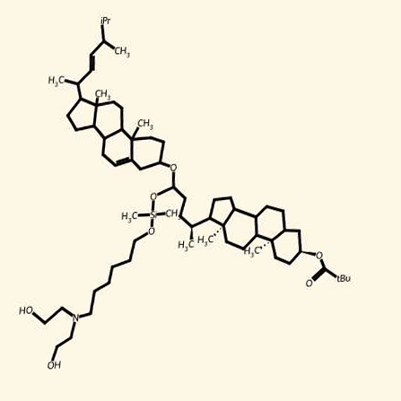 CC(C)C(C)/C=C/C(C)C1CCC2C3CC=C4CC(OC(CC[C@H](C)C5CCC6C7CCC8C[C@@H](OC(=O)C(C)(C)C)CC[C@@]8(C)C7CC[C@]65C)O[Si](C)(C)OCCCCCCN(CCO)CCO)CCC4(C)C3CCC12C